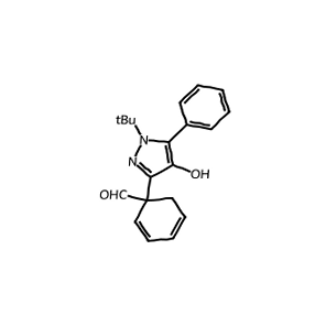 CC(C)(C)n1nc(C2(C=O)C=CC=CC2)c(O)c1-c1ccccc1